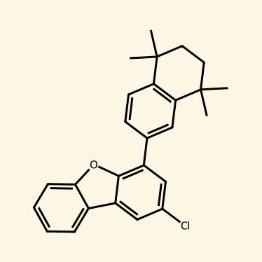 CC1(C)CCC(C)(C)c2cc(-c3cc(Cl)cc4c3oc3ccccc34)ccc21